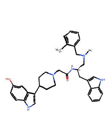 CC(=O)N(Cc1ccccc1C)C[C@@H](Cc1c[nH]c2ccccc12)NC(=O)CN1CCC(c2c[nH]c3ccc(O)cc23)CC1